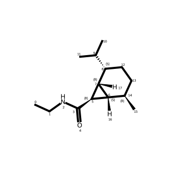 CCNC(=O)[C@@H]1[C@@H]2[C@H]1[C@H](C(C)C)CC[C@H]2C